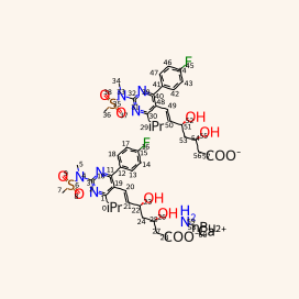 CC(C)c1nc(N(C)S(C)(=O)=O)nc(-c2ccc(F)cc2)c1C=C[C@@H](O)C[C@@H](O)CC(=O)[O-].CC(C)c1nc(N(C)S(C)(=O)=O)nc(-c2ccc(F)cc2)c1C=C[C@@H](O)C[C@@H](O)CC(=O)[O-].CCCCN.[Ca+2]